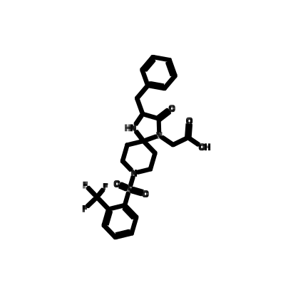 O=C(O)CN1C(=O)C(Cc2ccccc2)NC12CCN(S(=O)(=O)c1ccccc1C(F)(F)F)CC2